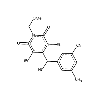 CCn1c(C(C#N)c2cc(C)cc(C#N)c2)c(C(C)C)c(=O)n(COC)c1=O